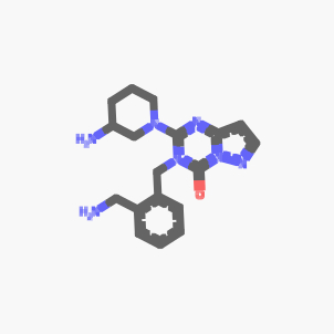 NCc1ccccc1Cn1c(N2CCCC(N)C2)nc2ccnn2c1=O